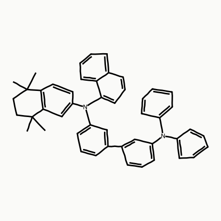 CC1(C)CCC(C)(C)c2cc(N(c3cccc(-c4cccc(N(c5ccccc5)c5ccccc5)c4)c3)c3cccc4ccccc34)ccc21